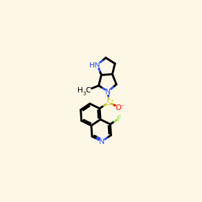 CC1C2NCCC2CN1[S+]([O-])c1cccc2cncc(F)c12